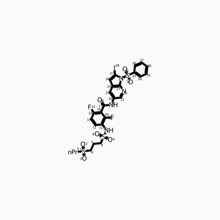 CCCS(=O)(=O)CCCS(=O)(=O)Nc1ccc(F)c(C(=O)Nc2cnc3c(c2)cc(I)n3S(=O)(=O)c2ccccc2)c1F